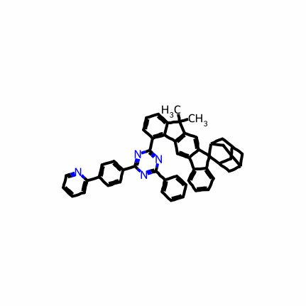 CC1(C)c2cc3c(cc2-c2c(-c4nc(-c5ccccc5)nc(-c5ccc(-c6ccccn6)cc5)n4)cccc21)-c1ccccc1C31C2CC3CC(C2)CC1C3